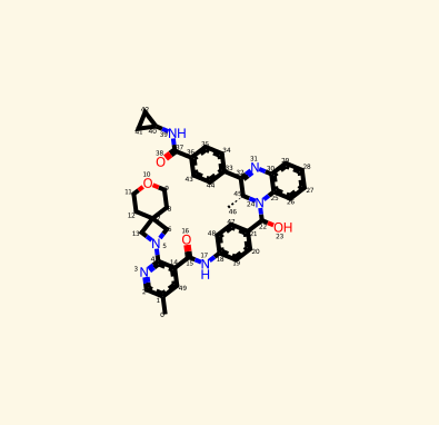 Cc1cnc(N2CC3(CCOCC3)C2)c(C(=O)Nc2ccc(C(O)N3c4ccccc4N=C(c4ccc(C(=O)NC5CC5)cc4)[C@H]3C)cc2)c1